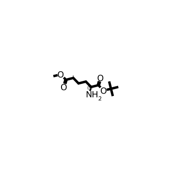 COC(=O)[CH]CC[C@H](N)C(=O)OC(C)(C)C